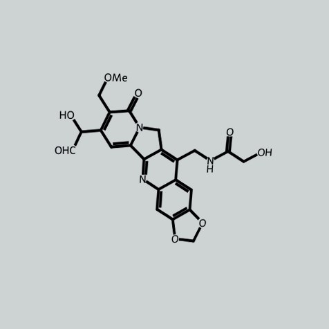 COCc1c(C(O)C=O)cc2n(c1=O)Cc1c-2nc2cc3c(cc2c1CNC(=O)CO)OCO3